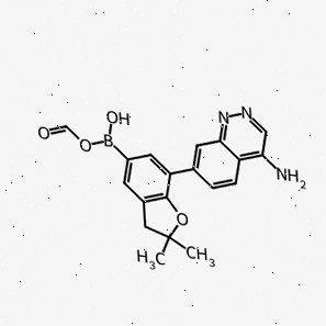 CC1(C)Cc2cc(B(O)OC=O)cc(-c3ccc4c(N)cnnc4c3)c2O1